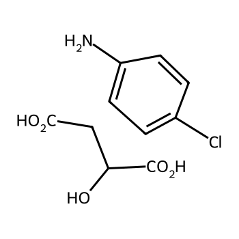 Nc1ccc(Cl)cc1.O=C(O)CC(O)C(=O)O